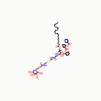 CC/C=C\C/C=C\C/C=C\C/C=C\C/C=C/CCCC(=O)OCC(C)(C)[C@@H](OC(=O)c1ccccc1OC(=O)c1ccccc1OC(=O)c1cccnc1)C(=O)NCCC(=O)NCCSSCCNC(=O)COCCN1CC(O)[C@@H](O)[C@H](O)C1CO